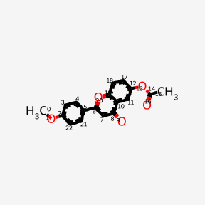 COc1ccc(-c2cc(=O)c3cc(OC(C)=O)ccc3o2)cc1